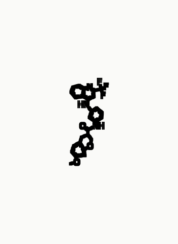 COc1ccc2c(c1)OCC(C(=O)Nc1cccc(Nc3cc(C(F)(F)F)nc4ccccc34)c1)C2